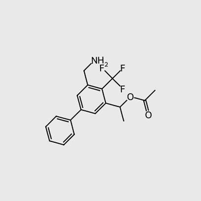 CC(=O)OC(C)c1cc(-c2ccccc2)cc(CN)c1C(F)(F)F